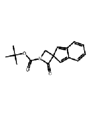 CC(C)(C)OC(=O)N1CC2(C=c3ccccc3=C2)C1=O